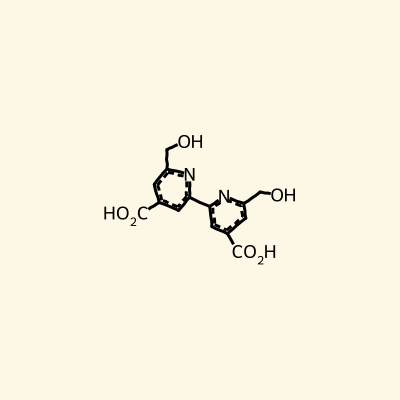 O=C(O)c1cc(CO)nc(-c2cc(C(=O)O)cc(CO)n2)c1